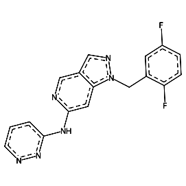 Fc1ccc(F)c(Cn2ncc3cnc(Nc4cccnn4)cc32)c1